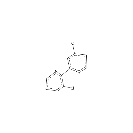 Clc1cc[c]c(-c2ncccc2Cl)c1